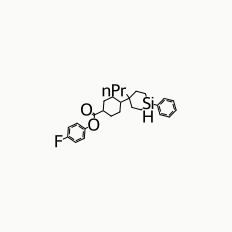 CCCC1(C2CCC(C(=O)Oc3ccc(F)cc3)CC2)CC[SiH](c2ccccc2)CC1